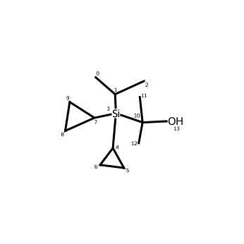 CC(C)[Si](C1CC1)(C1CC1)C(C)(C)O